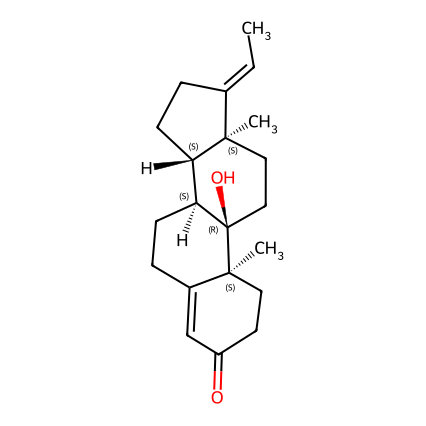 CC=C1CC[C@H]2[C@@H]3CCC4=CC(=O)CC[C@]4(C)[C@@]3(O)CC[C@]12C